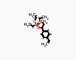 C=Cc1ccc(C(CC)O[Si](CC)(OCC)OCC)cc1